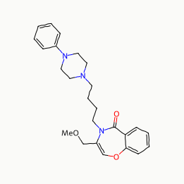 COCC1=COc2ccccc2C(=O)N1CCCCN1CCN(c2ccccc2)CC1